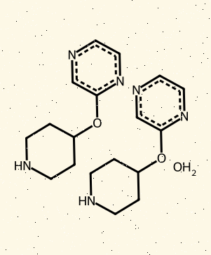 O.c1cnc(OC2CCNCC2)cn1.c1cnc(OC2CCNCC2)cn1